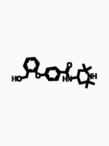 CC1(C)CC(NC(=O)c2ccc(Oc3ccccc3CO)cc2)CC(C)(C)N1